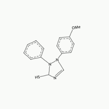 COc1ccc(N2C=NC(S)N2c2ccccc2)cc1